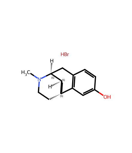 Br.CN1CC[C@@]23CCCC[C@@H]2[C@@H]1Cc1ccc(O)cc13